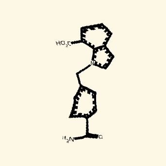 NC(=O)c1ccc(Cn2ccc3cccc(C(=O)O)c32)cc1